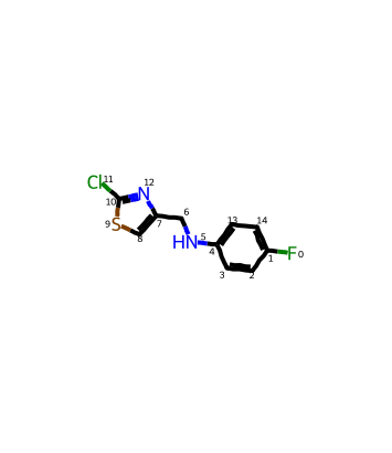 Fc1ccc(NCc2csc(Cl)n2)cc1